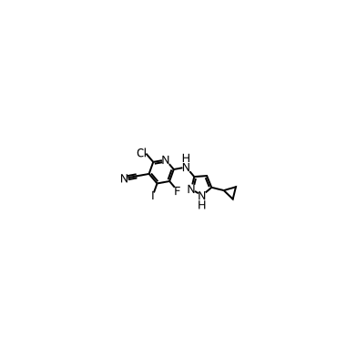 N#Cc1c(Cl)nc(Nc2cc(C3CC3)[nH]n2)c(F)c1I